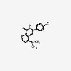 CN(C)c1cccc2c(=O)[nH]c(-c3ccc(Cl)cc3)cc12